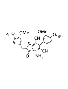 COc1cc(/C=c2\sc3n(c2=O)C(N)=C(C#N)C(c2ccc(OC(C)C)c(OC)c2)C=3C#N)ccc1OC(C)C